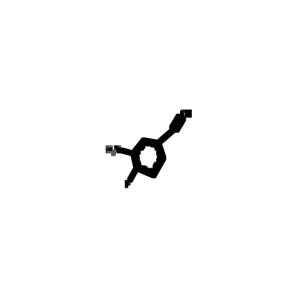 C#Cc1ccc(F)c(N)c1